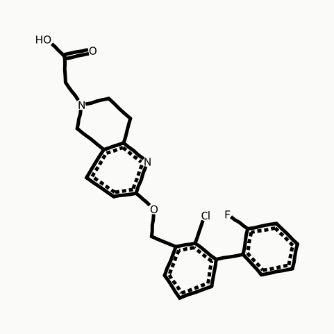 O=C(O)CN1CCc2nc(OCc3cccc(-c4ccccc4F)c3Cl)ccc2C1